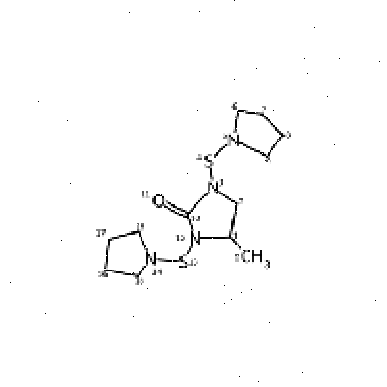 CC1CN(SN2CCCC2)C(=O)N1SN1CCCC1